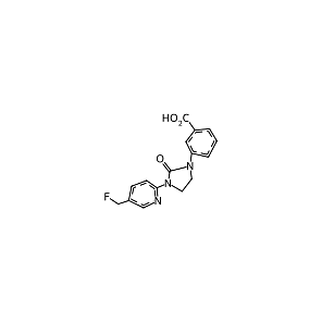 O=C(O)c1cccc(N2CCN(c3ccc(CF)cn3)C2=O)c1